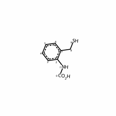 O=C(O)Nc1ccccc1CS